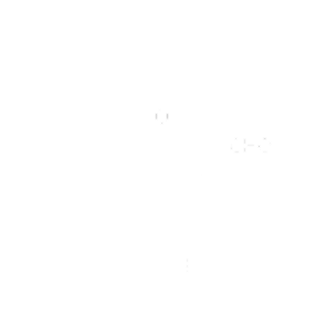 O=Cc1cc(I)ccc1OC1CCCCC1